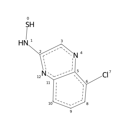 SNc1cnc2c(Cl)cccc2n1